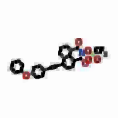 O=C1c2cccc3c(C#Cc4ccc(Oc5ccccc5)cc4)ccc(c23)C(=O)N1OS(=O)(=O)C(F)(F)F